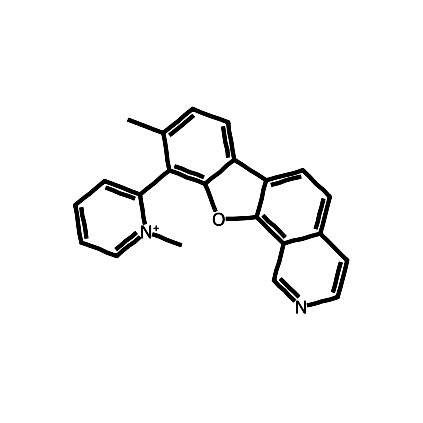 Cc1ccc2c(oc3c4cnccc4ccc23)c1-c1cccc[n+]1C